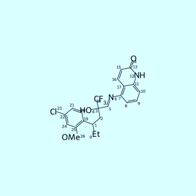 CCC(CC(O)(C=Nc1cccc2[nH]c(=O)ccc12)C(F)(F)F)c1ccc(Cl)cc1OC